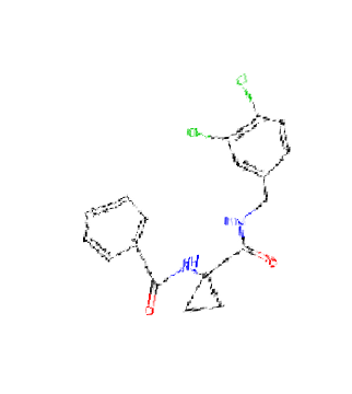 O=C(NC1(C(=O)NCc2ccc(Cl)c(Cl)c2)CC1)c1ccccc1